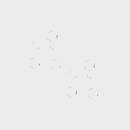 CC1=C(C)C(C)[C]([Hf+]([NH]c2ccccc2C(C)C)[SiH](c2ccccc2)c2ccccc2)=C1C.CC1=C(C)C(C)[C]([Hf+]([NH]c2ccccc2C(C)C)[SiH](c2ccccc2)c2ccccc2)=C1C.[Cl-].[Cl-]